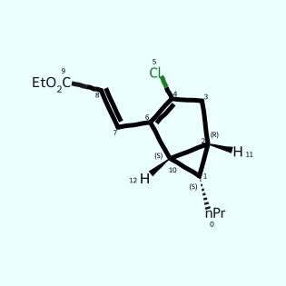 CCC[C@H]1[C@H]2CC(Cl)=C(C=CC(=O)OCC)[C@H]21